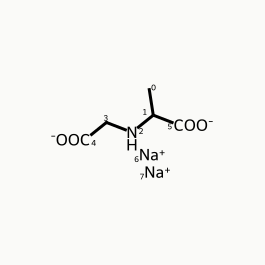 CC(NCC(=O)[O-])C(=O)[O-].[Na+].[Na+]